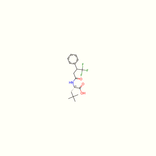 CC(C)(C)C[C@H](NC(=O)CC(c1ccccc1)C(F)(F)F)C(=O)O